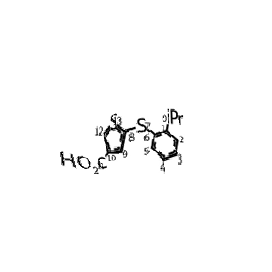 CC(C)c1ccccc1Sc1cc(C(=O)O)cs1